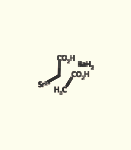 CC(=O)O.O=C(O)[CH2][Sr+2].[BaH2]